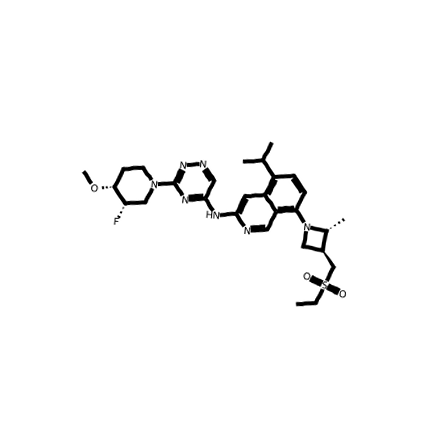 CCS(=O)(=O)C[C@H]1CN(c2ccc(C(C)C)c3cc(Nc4cnnc(N5CC[C@@H](OC)[C@@H](F)C5)n4)ncc23)[C@@H]1C